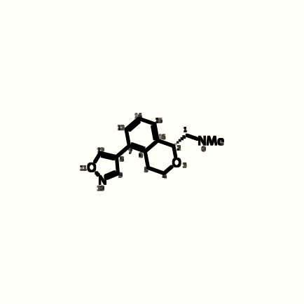 CNC[C@@H]1OCCc2c(-c3cnoc3)cccc21